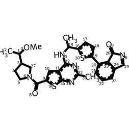 COC(C)C1CCN(C(=O)c2cc3c(NC(C)c4ccc(-c5cccc6c5C(=O)N=C6)s4)nc(C)nc3s2)C1